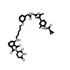 Cc1cc(-c2nc(NC(=O)Cc3cccc(OCCCCCNc4cccc5c4C(=O)N(C4CCC(=O)NC4=O)C5=O)c3)sc2C)ccc1NC(=O)C1CC1